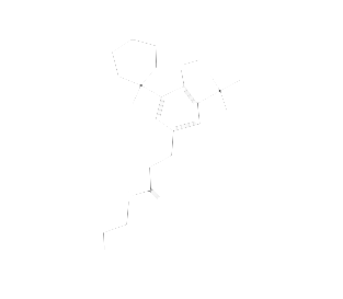 COc1c(C(C)(C)C)cc(CCC(=O)OCCO)cc1C1(C)CCCCC1